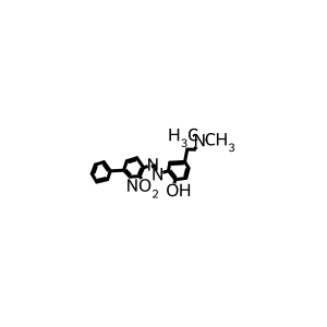 CN(C)CCc1ccc(O)c(N=Nc2ccc(-c3ccccc3)cc2[N+](=O)[O-])c1